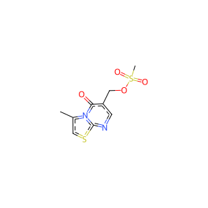 Cc1csc2ncc(COS(C)(=O)=O)c(=O)n12